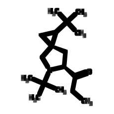 CCC(=O)[C@@H]1C[C@]2(CC2C(C)(C)C)CN1C(C)(C)C